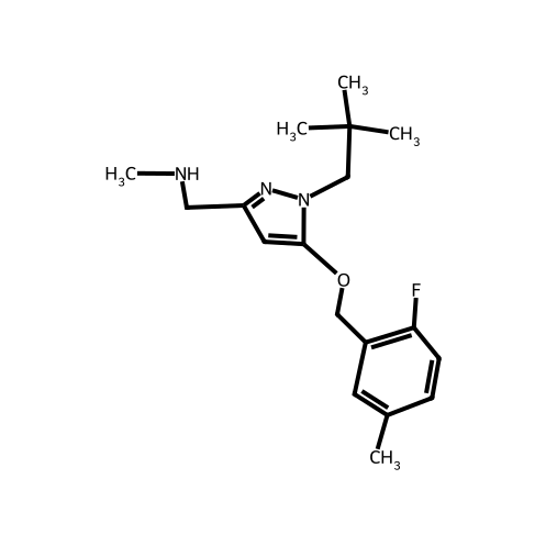 CNCc1cc(OCc2cc(C)ccc2F)n(CC(C)(C)C)n1